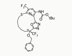 CC(C)(C)OC(=O)Nc1cc(C(F)(F)F)c2nc1-c1nnc(o1)[C@@](OCc1ccccc1)(C(F)(F)F)CCCCCS2